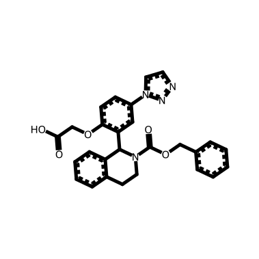 O=C(O)COc1ccc(-n2ccnn2)cc1C1c2ccccc2CCN1C(=O)OCc1ccccc1